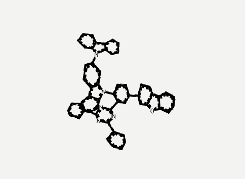 c1ccc(-c2nc(-c3ccccc3)nc(-c3cc(-c4ccc5c(c4)oc4ccccc45)ccc3-n3c4ccccc4c4ccc(-n5c6ccccc6c6ccccc65)cc43)n2)cc1